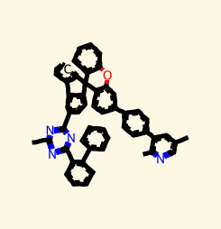 Cc1cnc(C)c(-c2ccc(-c3ccc4c(c3)Oc3ccccc3C43c4ccccc4-c4cc(-c5nc(C)nc(-c6ccccc6-c6ccccc6)n5)ccc43)cc2)c1